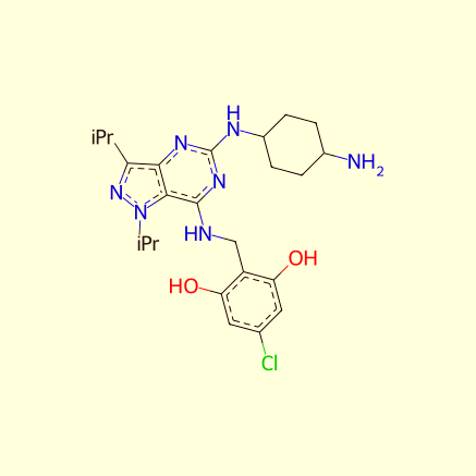 CC(C)c1nn(C(C)C)c2c(NCc3c(O)cc(Cl)cc3O)nc(NC3CCC(N)CC3)nc12